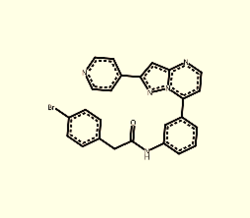 O=C(Cc1ccc(Br)cc1)Nc1cccc(-c2ccnc3cc(-c4ccncc4)nn23)c1